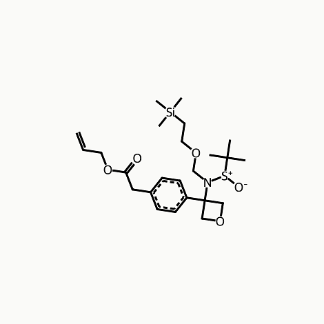 C=CCOC(=O)Cc1ccc(C2(N(COCC[Si](C)(C)C)[S+]([O-])C(C)(C)C)COC2)cc1